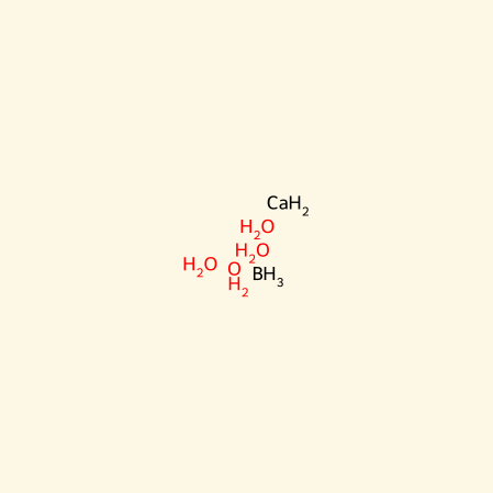 B.O.O.O.O.[CaH2]